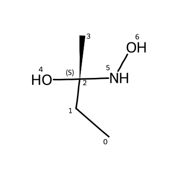 CC[C@](C)(O)NO